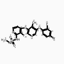 CNS(=O)(=O)Nc1nccc(Oc2cncc(Oc3ccc(Br)cc3F)c2C)c1F